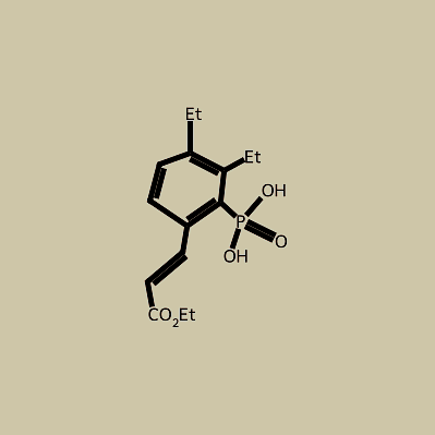 CCOC(=O)C=Cc1ccc(CC)c(CC)c1P(=O)(O)O